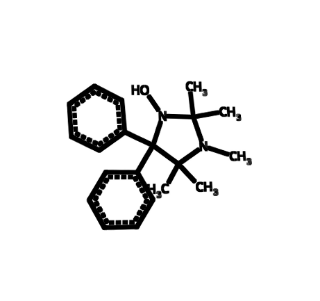 CN1C(C)(C)N(O)C(c2ccccc2)(c2ccccc2)C1(C)C